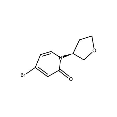 O=c1cc(Br)ccn1[C@H]1CCOC1